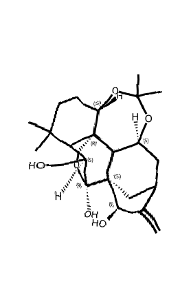 C=C1C2C[C@@H]3OC(C)(C)O[C@H]4CCC(C)(C)C5[C@H](O)[C@]6(O)OC[C@]54C3[C@@]6(C2)[C@@H]1O